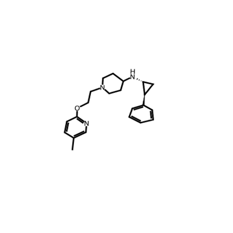 Cc1ccc(OCCN2CCC(N[C@@H]3C[C@H]3c3ccccc3)CC2)nc1